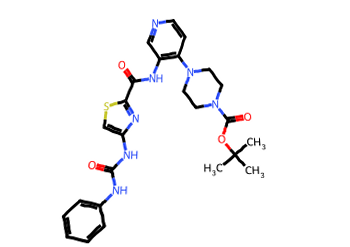 CC(C)(C)OC(=O)N1CCN(c2ccncc2NC(=O)c2nc(NC(=O)Nc3ccccc3)cs2)CC1